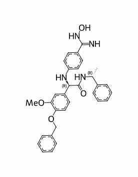 COc1cc([C@@H](Nc2ccc(C(=N)NO)cc2)C(=O)N[C@H](C)c2ccccc2)ccc1OCc1ccccc1